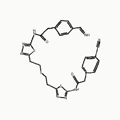 N#Cc1ccc(CC(=O)Nc2nnc(CCSCCc3nnc(NC(=O)Cc4ccc(C=N)cc4)s3)s2)cc1